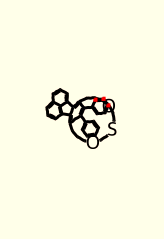 c1ccc(-c2c3c4c(c(c2-c2ccccc2)CCCOCCSCCOCCC3)-c2cccc3cccc-4c23)cc1